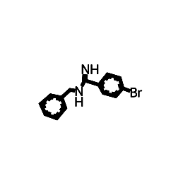 N=C(NCc1ccccc1)c1ccc(Br)cc1